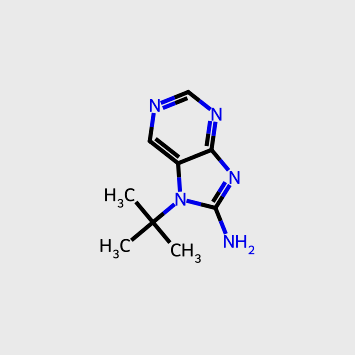 CC(C)(C)n1c(N)nc2ncncc21